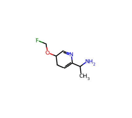 CC(N)C1=CCC(OCF)C=N1